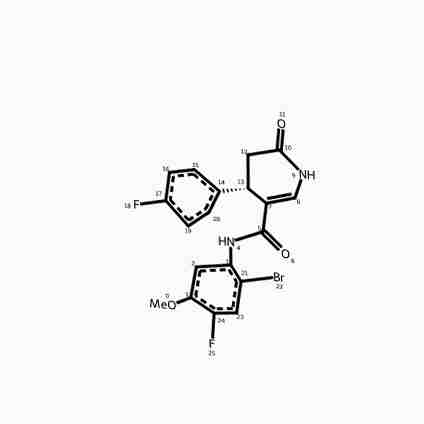 COc1cc(NC(=O)C2=CNC(=O)C[C@H]2c2ccc(F)cc2)c(Br)cc1F